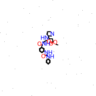 CCOC(=O)CCC1(NC(=O)CNC(=O)c2cccc(NC(=O)Nc3ccccc3)c2)C=CC=NC1